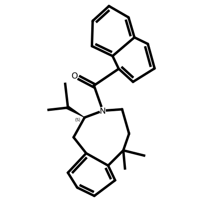 CC(C)[C@@H]1Cc2ccccc2C(C)(C)CCN1C(=O)c1cccc2ccccc12